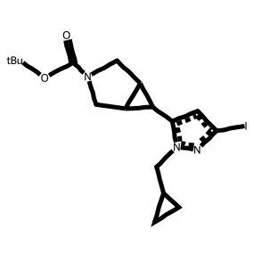 CC(C)(C)OC(=O)N1CC2C(C1)C2c1cc(I)nn1CC1CC1